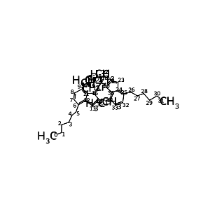 CCCCCCc1ccc(C)c2c1C=C(C)[CH]2[Zr]([Cl])([Cl])([CH]1C(C)=Cc2c(CCCCCC)ccc(C)c21)=[Si](C)C